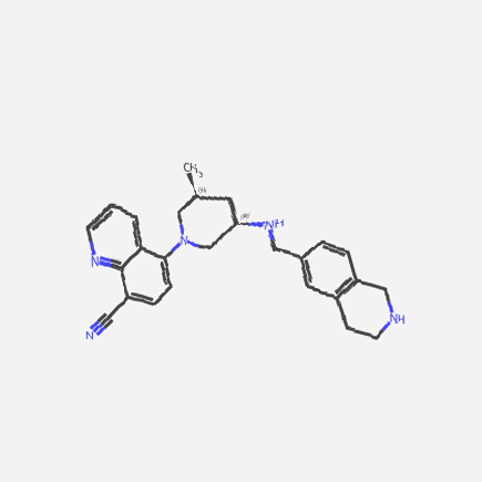 C[C@H]1C[C@@H](NCc2ccc3c(c2)CCNC3)CN(c2ccc(C#N)c3ncccc23)C1